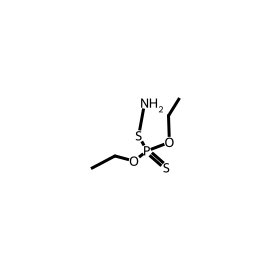 CCOP(=S)(OCC)SN